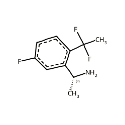 C[C@@H](N)c1cc(F)ccc1C(C)(F)F